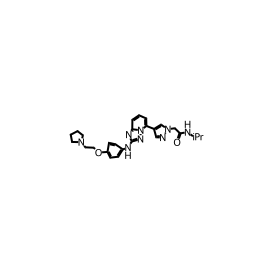 CC(C)NC(=O)Cn1cc(-c2cccc3nc(Nc4ccc(OCCN5CCCC5)cc4)nn23)cn1